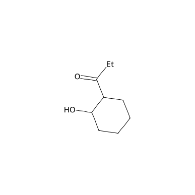 CCC(=O)C1CCCCC1O